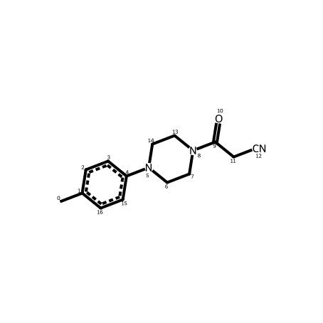 Cc1ccc(N2CCN(C(=O)CC#N)CC2)cc1